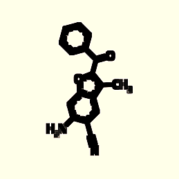 Cc1c(C(=O)c2ccccc2)oc2cc(N)c(C#N)cc12